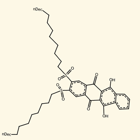 CCCCCCCCCCCCCCCCCCS(=O)(=O)c1cc2c(cc1S(=O)(=O)CCCCCCCCCCCCCCCCCC)C(=O)c1c(c(O)c3ccccc3c1O)C2=O